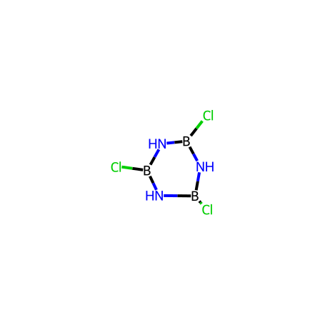 ClB1NB(Cl)NB(Cl)N1